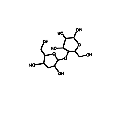 OCC1OC(OC2C(CO)OC(O)C(O)C2O)C(O)CC1O